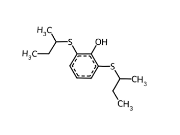 CCC(C)Sc1cccc(SC(C)CC)c1O